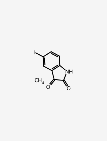 C.O=C1Nc2ccc(I)cc2C1=O